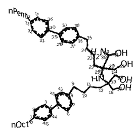 CCCCCCCCc1ccc(-c2ccc(CCCCC(CO)(CO)NC(CO)(CCCCc3ccc(-c4ccc(CCCCC)cc4)cc3)C(N)O)cc2)cc1